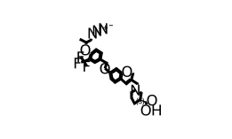 CC(CN=[N+]=[N-])Oc1ccc(COc2ccc3c(c2)OCC(CN2CCC[C@H](C(=O)O)C2)=C3)cc1C(F)(F)F